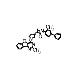 Cc1nc(N2CC[C@H](CC(=O)Nc3ccc(-c4ccccc4)cc3C)C2)c2oc3ccccc3c2n1